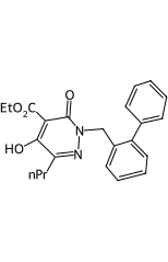 CCCc1nn(Cc2ccccc2-c2ccccc2)c(=O)c(C(=O)OCC)c1O